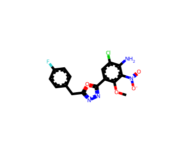 COc1c(-c2nnc(Cc3ccc(F)cc3)o2)cc(Cl)c(N)c1[N+](=O)[O-]